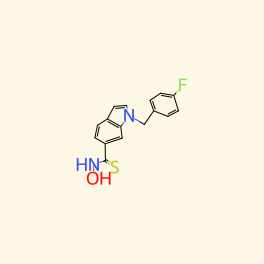 ONC(=S)c1ccc2ccn(Cc3ccc(F)cc3)c2c1